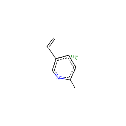 C=Cc1ccc(C)nc1.Cl